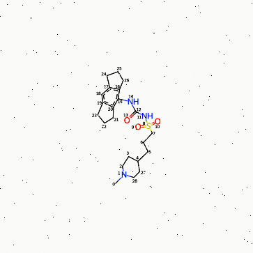 CN1CCC(CCCS(=O)(=O)NC(=O)Nc2c3c(cc4c2CCC4)CCC3)CC1